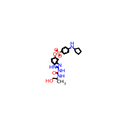 CC(CO)NC(=O)Nc1nc2cc(OS(=O)(=O)c3ccc(NC4CCCC4)cc3)ccc2[nH]1